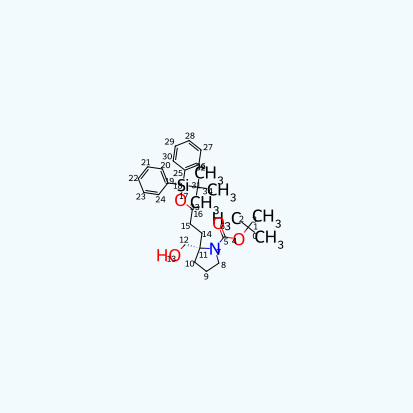 CC(C)(C)OC(=O)N1CCC[C@@]1(CO)CCCO[Si](c1ccccc1)(c1ccccc1)C(C)(C)C